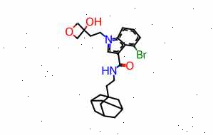 O=C(NCCC12CC3CC(CC(C3)C1)C2)c1cn(CCC2(O)COC2)c2cccc(Br)c12